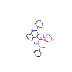 CC(NC(=O)c1c(C[N+]2([O-])CCOCC2)c(-c2ccccc2)nc2ccccc12)c1ccccc1